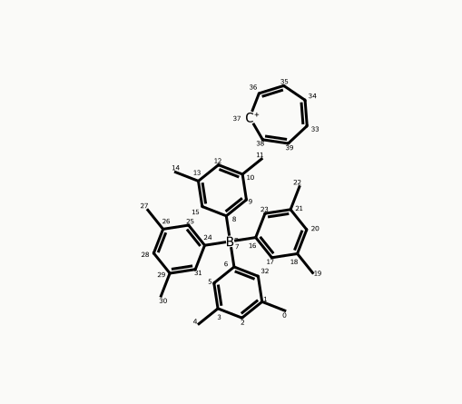 Cc1cc(C)cc([B-](c2cc(C)cc(C)c2)(c2cc(C)cc(C)c2)c2cc(C)cc(C)c2)c1.c1ccc[cH+]cc1